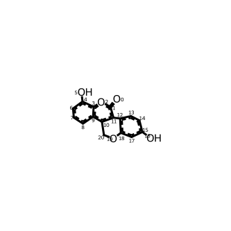 O=c1oc2c(O)cccc2c2c1-c1ccc(O)cc1OC2